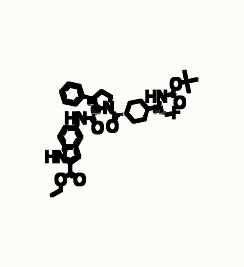 CCOC(=O)c1cc2cc(NC(=O)[C@@H]3[C@@H](c4ccccc4)CCN3C(=O)[C@H]3CC[C@H]([C@@H](CF)NC(=O)OC(C)(C)C)CC3)ccc2[nH]1